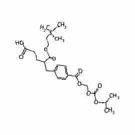 CC(C)OC(=O)OCOC(=O)c1ccc(CC(CCC(=O)O)C(=O)OCCS(C)(C)C)cc1